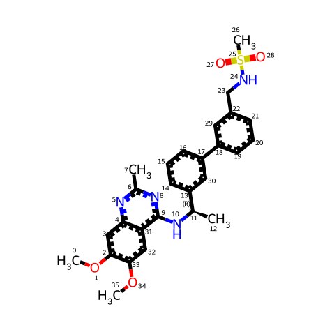 COc1cc2nc(C)nc(N[C@H](C)c3cccc(-c4cccc(CNS(C)(=O)=O)c4)c3)c2cc1OC